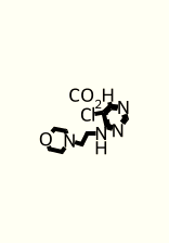 O=C(O)c1ncnc(NCCN2CCOCC2)c1Cl